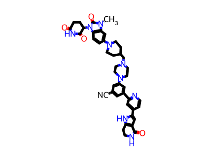 Cn1c(=O)n(C2CCC(=O)NC2=O)c2ccc(N3CCC(CN4CCN(c5cc(C#N)cc(-c6cc(-c7cc8c([nH]7)CCNC8=O)ccn6)c5)CC4)CC3)cc21